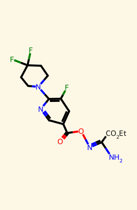 CCOC(=O)/C(N)=N\OC(=O)c1cnc(N2CCC(F)(F)CC2)c(F)c1